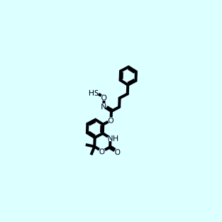 CC1(C)OC(=O)Nc2c(OC(CCCc3ccccc3)=NOS)cccc21